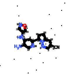 N#Cc1cnn2c(-c3cc(Nc4cnoc4)c(N)cn3)ccc2c1